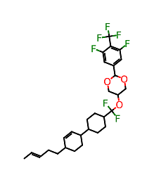 C/C=C/CCC1C=CC(C2CCC(C(F)(F)OC3COC(c4cc(F)c(C(F)(F)F)c(F)c4)OC3)CC2)CC1